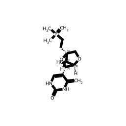 C=C1NC(=O)NC=C1[C@@H]1O[C@@]2(CCP(=C)(C)C)CO[C@@H]1[C@@H]2O